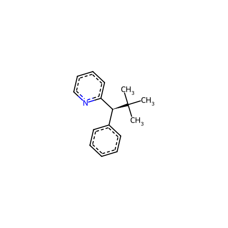 CC(C)(C)[C@@H](c1ccccc1)c1ccccn1